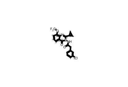 O=C(Cc1cccc(Cl)c1)Nn1c(C2CC2)nc2c(OC(F)(F)F)cccc2c1=O